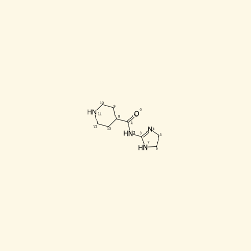 O=C(NC1=NCCN1)C1CCNCC1